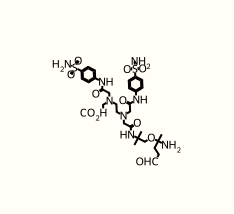 CC(C)(COC(C)(N)CCC=O)NC(=O)CN(CCN(CC(=O)O)CC(=O)Nc1ccc(S(N)(=O)=O)cc1)CC(=O)Nc1ccc(S(N)(=O)=O)cc1